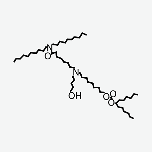 CCCCCCCCCCN(CCCCCCCCCC)C(=O)CCCCCCCN(CCCCCO)CCCCCCCCCOC(=O)OC(CCCCCC)CCCCCC